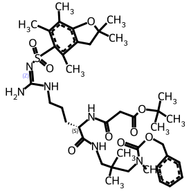 Cc1c(C)c(S(=O)(=O)/N=C(/N)NCCC[C@H](NC(=O)CC(=O)OC(C)(C)C)C(=O)NCC(C)(C)CN(C)C(=O)OCc2ccccc2)c(C)c2c1OC(C)(C)C2